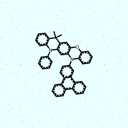 CC1(C)c2ccccc2N(c2ccccc2)c2cc3c(cc21)Oc1ccccc1N3c1ccc2c3ccccc3c3ccccc3c2c1